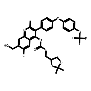 Cc1nc2cc(CO)c(Cl)cc2c(OC(=O)OCC2COC(C)(C)O2)c1-c1ccc(Oc2ccc(OC(F)(F)F)cc2)cc1